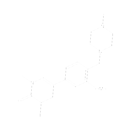 COc1cc(C2=CN(C)C(=O)C(I)C2)ccc1CN1CCN(C)CC1